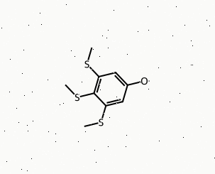 CSc1cc([O])cc(SC)c1SC